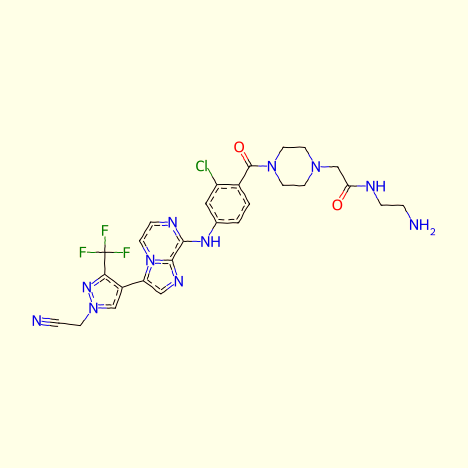 N#CCn1cc(-c2cnc3c(Nc4ccc(C(=O)N5CCN(CC(=O)NCCN)CC5)c(Cl)c4)nccn23)c(C(F)(F)F)n1